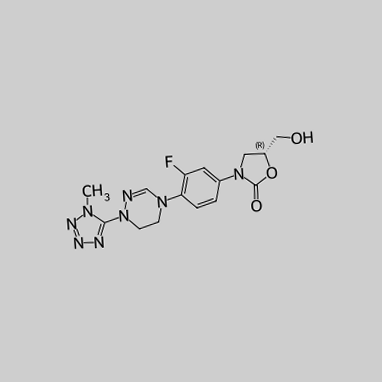 Cn1nnnc1N1CCN(c2ccc(N3C[C@H](CO)OC3=O)cc2F)C=N1